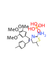 CC1CCN=C(N)S1.COc1cc(/C=C\c2ccc(C)cc2)cc(OC)c1OC.O=P(O)(O)O